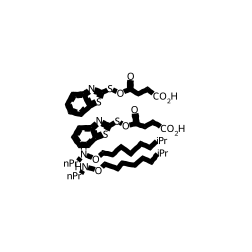 CCCNOCCCCCCC(C)C.CCCNOCCCCCCC(C)C.O=C(O)CCC(=O)OSc1nc2ccccc2s1.O=C(O)CCC(=O)OSc1nc2ccccc2s1